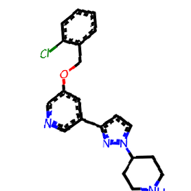 Clc1ccccc1COc1cncc(-c2ccn(C3CCNCC3)n2)c1